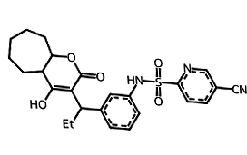 CCC(C1=C(O)C2CCCCCC2OC1=O)c1cccc(NS(=O)(=O)c2ccc(C#N)cn2)c1